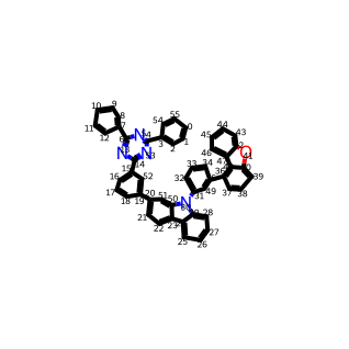 c1ccc(-c2nc(-c3ccccc3)nc(-c3cccc(-c4ccc5c6ccccc6n(-c6cccc(-c7cccc8oc9ccccc9c78)c6)c5c4)c3)n2)cc1